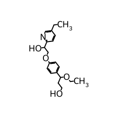 CCOC(CCO)c1ccc(OCC(O)c2ccc(CC)cn2)cc1